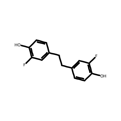 Oc1ccc(CCc2ccc(O)c(F)c2)cc1F